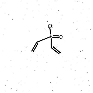 C=CP(=O)(C=C)CC